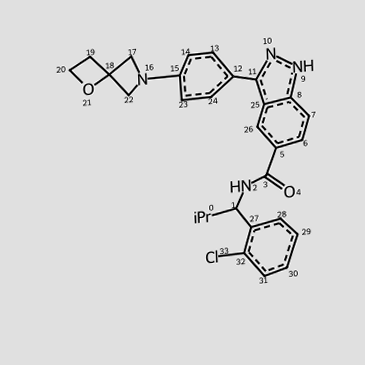 CC(C)C(NC(=O)c1ccc2[nH]nc(-c3ccc(N4CC5(CCO5)C4)cc3)c2c1)c1ccccc1Cl